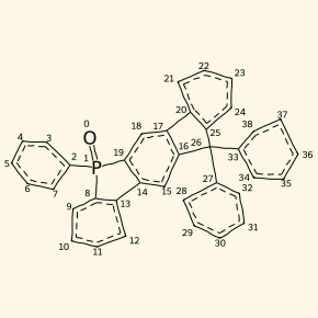 O=P1(c2ccccc2)c2ccccc2-c2cc3c(cc21)-c1ccccc1C3(c1ccccc1)c1ccccc1